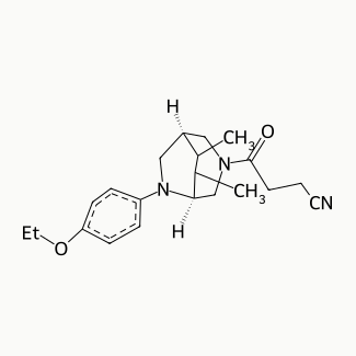 CCOc1ccc(N2C[C@H]3CN(C(=O)CCC#N)C[C@@H]2C(C)C3C)cc1